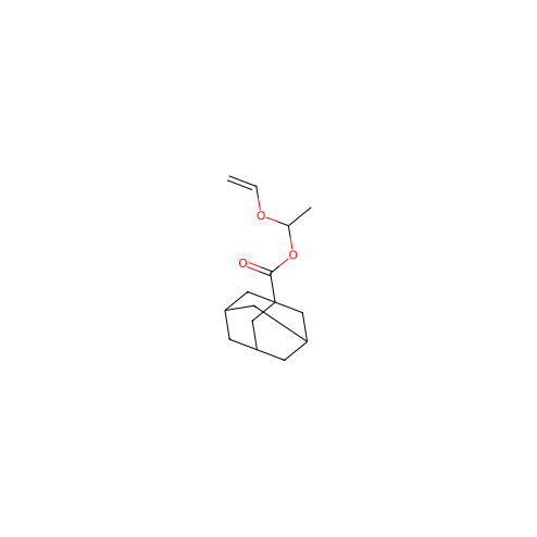 C=COC(C)OC(=O)C12CC3CC(CC(C3)C1)C2